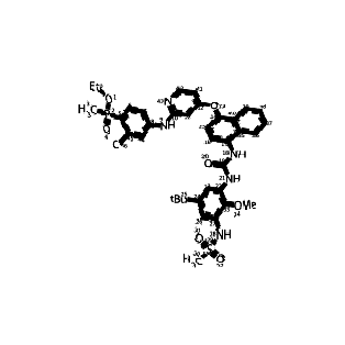 CCOP(C)(=O)c1ccc(Nc2cc(Oc3ccc(NC(=O)Nc4cc(C(C)(C)C)cc(NS(C)(=O)=O)c4OC)c4ccccc34)ccn2)cc1Cl